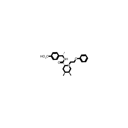 C[C@H](NC(=O)[C@H]1C[C@H](C)[C@H](C)CN1CCOc1ccccc1)c1ccc(C(=O)O)cc1